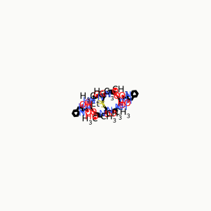 CCSC1SCC2C(=O)N(C)C3(CC3C)[C@@H](O)OCC(NC(=O)c3nc4ccccc4cc3O)C(=O)NC(C)C(=O)N(C)C1C(=O)N(C)C1(CC1C)C(=O)OCC(NC(=O)c1nc3ccccc3cc1O)C(=O)NC(C)C(=O)N2C